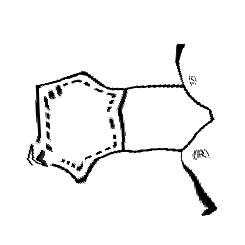 C[C@@H]1C[C@H](C)c2ccncc21